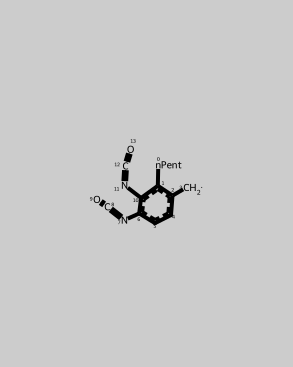 [CH2]CCCCc1c([CH2])ccc(N=C=O)c1N=C=O